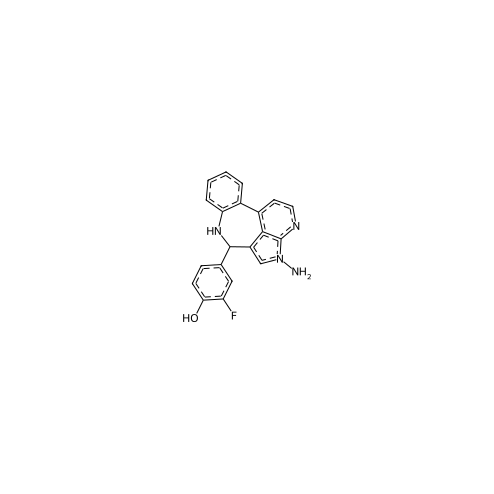 Nn1cc2c3c(ccnc31)-c1ccccc1NC2c1ccc(O)c(F)c1